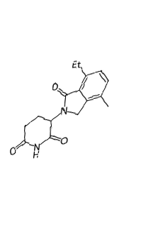 CCc1ccc(C)c2c1C(=O)N(C1CCC(=O)NC1=O)C2